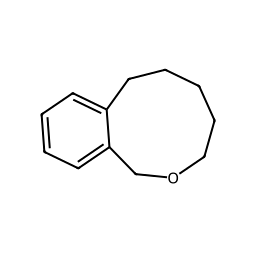 c1ccc2c(c1)CCCCCOC2